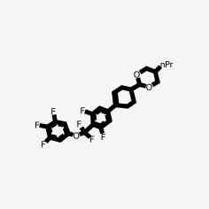 CCCC1COC(C2CC=C(c3cc(F)c(C(F)(F)Oc4cc(F)c(F)c(F)c4)c(F)c3)CC2)OC1